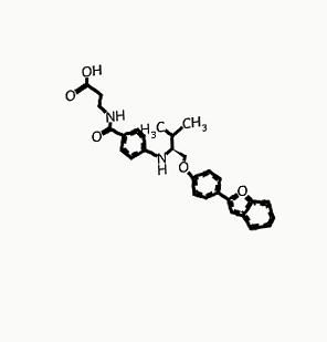 CC(C)[C@@H](COc1ccc(-c2cc3ccccc3o2)cc1)Nc1ccc(C(=O)NCCC(=O)O)cc1